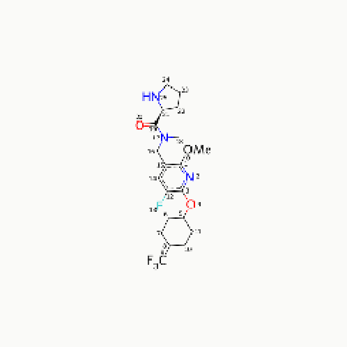 COc1nc(OC2CCC(C(F)(F)F)CC2)c(F)cc1CN(C)C(=O)[C@@H]1CCCN1